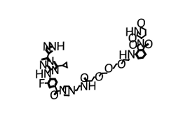 O=C(CCOCCOCCOCCNc1cccc2c1C(=O)N(C1CCC(=O)NC1=O)C2=O)NCCN1CCN(C(=O)c2ccc(Nc3nc(C4CC4)cn4c(-c5cn[nH]c5)cnc34)c(F)c2)CC1